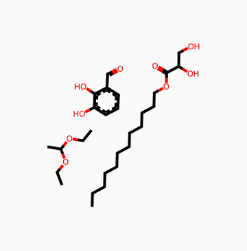 CCCCCCCCCCCCOC(=O)C(O)CO.CCOC(C)OCC.O=Cc1cccc(O)c1O